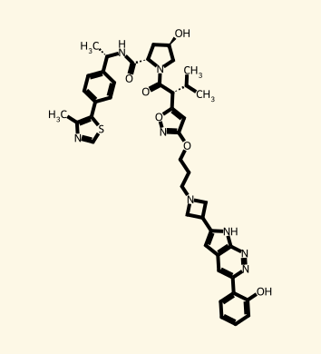 Cc1ncsc1-c1ccc([C@H](C)NC(=O)[C@@H]2C[C@@H](O)CN2C(=O)[C@@H](c2cc(OCCCN3CC(c4cc5cc(-c6ccccc6O)nnc5[nH]4)C3)no2)C(C)C)cc1